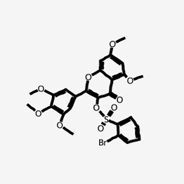 COc1cc(OC)c2c(=O)c(OS(=O)(=O)c3ccccc3Br)c(-c3cc(OC)c(OC)c(OC)c3)oc2c1